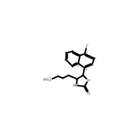 CCOC(=O)CCCC1NC(=O)OC1c1ccc(F)c2ccccc12